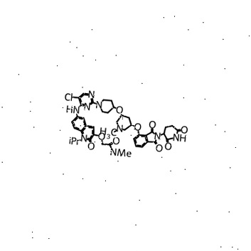 CNC(=O)COc1cc2cc(Nc3nc(N4CCC(O[C@@H]5C[C@@H](Oc6cccc7c6C(=O)N(C6CCC(=O)NC6=O)C7=O)CN(C)C5)CC4)ncc3Cl)ccc2n(C(C)C)c1=O